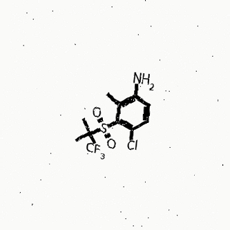 Cc1c(N)ccc(Cl)c1S(=O)(=O)C(C)(C)C(F)(F)F